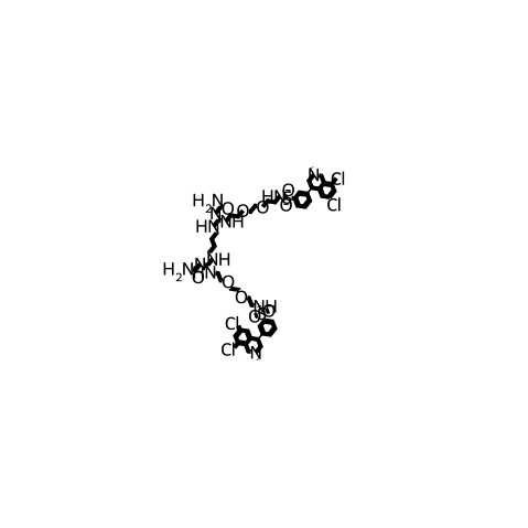 CN1Cc2c(Cl)cc(Cl)cc2[C@@H](c2cccc(S(=O)(=O)NCCOCCOCCN/C(=N\C(N)=O)NCCCCN/C(=N/C(N)=O)NCCOCCOCCNS(=O)(=O)c3cccc([C@H]4CN(C)Cc5c(Cl)cc(Cl)cc54)c3)c2)C1